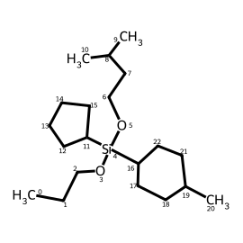 CCCO[Si](OCCC(C)C)(C1CCCC1)C1CCC(C)CC1